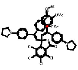 CCOc1ccc(C(=CC2(C=C(c3ccc(N4CCCC4)cc3)c3ccc(OCC)c(OC)c3)OC(=O)c3c(Cl)c(Cl)c(Cl)c(Cl)c32)c2ccc(N3CCCC3)cc2)cc1OC